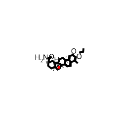 CCCOC1=C(C)C2=CC=C3[C@@](C)(CC[C@@]4(CC)[C@@H]5C[C@](C)(C(N)=O)CC[C@]5(C)CC[C@]34C)C2=CC1=O